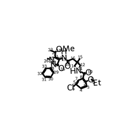 CCOc1ccc(Cl)cc1C(=O)NCC(C)(C)CC(=O)Nc1c(C(C)OC)n(C)n(-c2ccccc2)c1=O